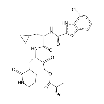 CC(C)[C@H](C)C(=O)OCC(=O)[C@H](C[C@@H]1CCCNC1=O)NC(=O)[C@H](CC1CC1)NC(=O)c1cc2cccc(Cl)c2[nH]1